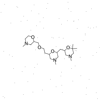 CN1CCOC(COCCC2CN(C)CC(CC3CN(C)CC(C)(C)O3)O2)C1